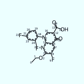 CCOc1nc2c(cc1F)c(=O)c(C(=O)O)cn2-c1ccc(F)cc1F